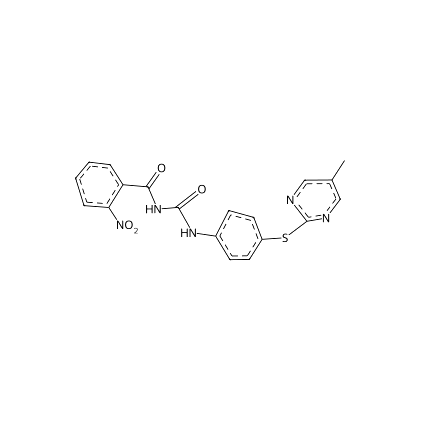 Cc1cnc(Sc2ccc(NC(=O)NC(=O)c3ccccc3[N+](=O)[O-])cc2)nc1